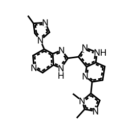 Cc1cn(-c2cncc3[nH]c(-c4n[nH]c5ccc(-c6cnc(C)n6C)nc45)nc23)cn1